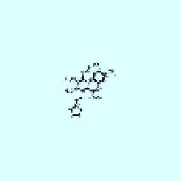 COC(=O)C1=C(CCN2CCCC2)N(C)C(C)=C(COC=O)C1c1ccc(C(F)(F)F)cc1